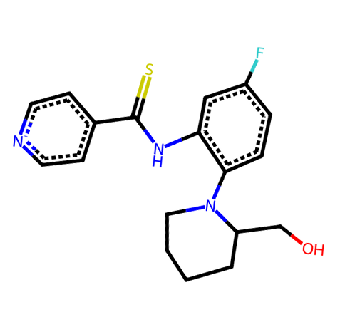 OCC1CCCCN1c1ccc(F)cc1NC(=S)c1ccncc1